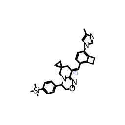 Cc1cn(-c2ccc(/C=C3\CC4(CC4)CN4C3=NOCC4c3ccc([Si](C)(C)C)cc3)c3c2CC3)cn1